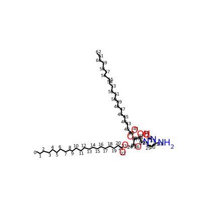 CCCCCCCCCCCCCCCCCCCCCC(=O)OC[C@H]1O[C@@H](n2ccc(N)nc2=O)[C@@H](O)[C@@H]1OC(=O)CCCCCCCCCCCCCCCCCCCCC